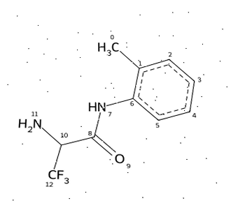 Cc1ccccc1NC(=O)C(N)C(F)(F)F